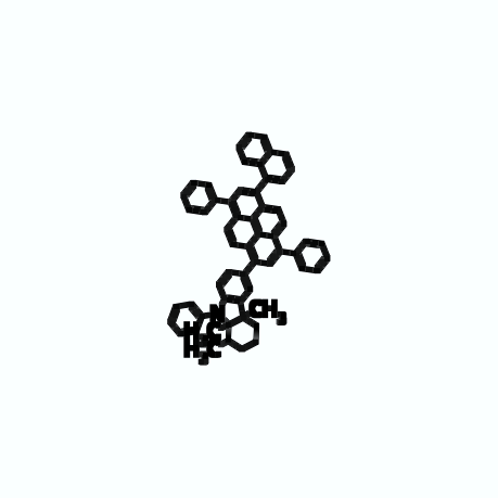 CC1CCCC2(C)c3cc(-c4cc(-c5ccccc5)c5ccc6c(-c7cccc8ccccc78)cc(-c7ccccc7)c7ccc4c5c76)ccc3N(c3ccccc3)C12C